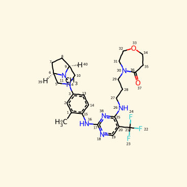 Cc1cc(N2C[C@H]3CC[C@@H](C2)N3C)ccc1Nc1ncc(C(F)(F)F)c(NCCCN2CCOCCC2=O)n1